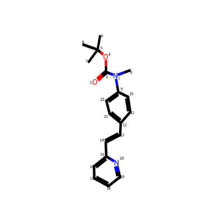 CN(C(=O)OC(C)(C)C)c1ccc(C=Cc2ccccn2)cc1